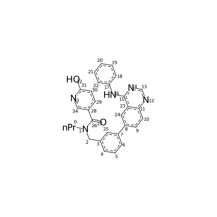 CCCN(Cc1cccc(-c2ccc3ncnc(Nc4ccccc4)c3c2)c1)C(=O)c1ccc(O)nc1